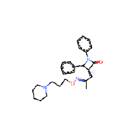 CC(/C=C1/C(=O)N(c2ccccc2)C1c1ccccc1)=NOCCCN1CCCCC1